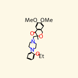 CCOc1ccccc1N1CCN(CC2(C)OCc3cc(OC)c(OC)cc3C2=O)CC1